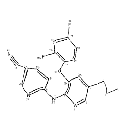 CCCc1cnc(Nc2ccc(C#N)cn2)c(Oc2ccc(F)cc2F)c1